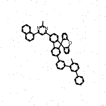 Cc1nc(-c2ccc3c(c2)-c2ccc(-c4cccc(-c5cc(-c6ccccc6)ccc5C)c4)cc2C32c3ccccc3Oc3ccccc32)cc(-c2cccc3ccccc23)n1